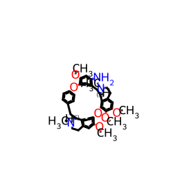 COc1cc(N)c2cc1Oc1ccc(cc1)C[C@H]1c3cc(c(OC)cc3CCN1C)Oc1c(OC)c(OC)cc3c1[C@H](C2)N(C)CC3